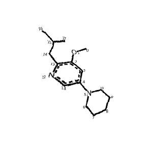 COc1cc(N2CCCCC2)cnc1CC(C)C